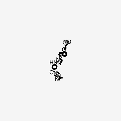 Cc1cnc2n1CCN(C(=O)[C@H]1CC[C@H](Nc3nccc(-n4ccc5c(OCCCS(C)(=O)=O)cccc54)n3)CC1)C2